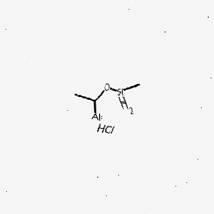 C[SiH2]O[CH](C)[Al].Cl